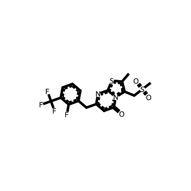 Cc1sc2nc(Cc3cccc(C(F)(F)F)c3F)cc(=O)n2c1CS(C)(=O)=O